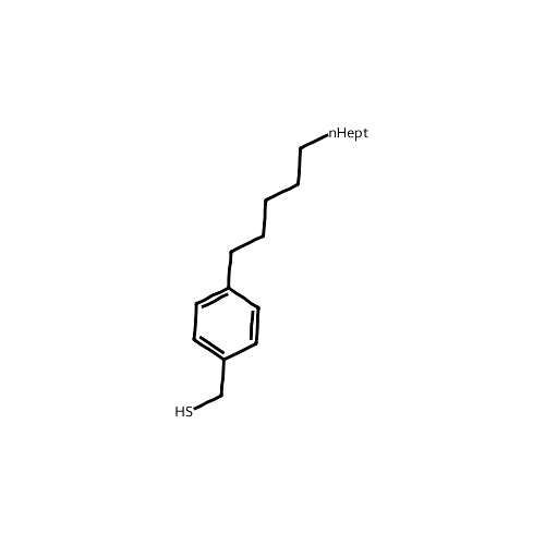 CCCCCCCCCCCCc1ccc(CS)cc1